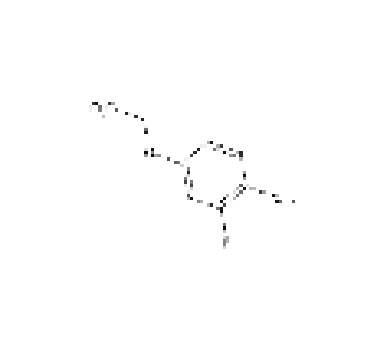 O=C(O)COc1ccc(C(F)(F)F)c(F)c1